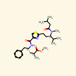 COC(=O)[C@@H](C)C[C@H](Cc1ccccc1)NC(=O)c1csc(CC[C@H](C(C)C)N(C)C(=O)CC(C)C)n1